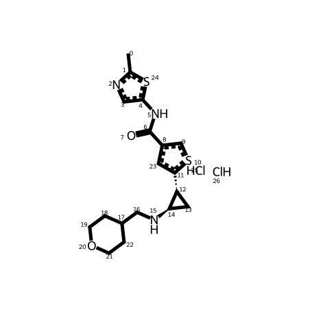 Cc1ncc(NC(=O)c2csc([C@@H]3C[C@H]3NCC3CCOCC3)c2)s1.Cl.Cl